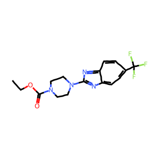 CCOC(=O)N1CCN(c2nc3ccc(C(F)(F)F)ccc-3n2)CC1